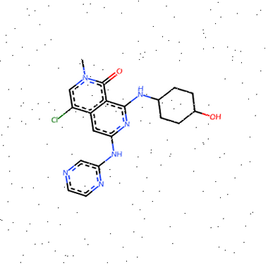 Cn1cc(Cl)c2cc(Nc3cnccn3)nc(NC3CCC(O)CC3)c2c1=O